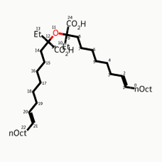 CCCCCCCCC=CCCCCCCC(CC)(OC(CC)(CCCCCCC=CCCCCCCCC)C(=O)O)C(=O)O